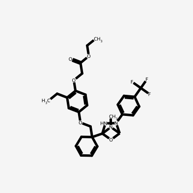 CCOC(=O)COc1ccc(OCC2(C34NN(c5ccc(C(F)(F)F)cc5)C(O3)N4C)C=CC=CC2)cc1CC